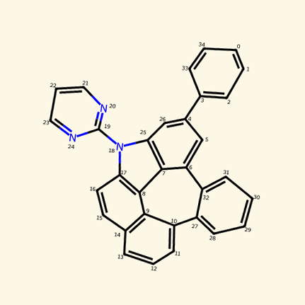 c1ccc(-c2cc3c4c5c6c(cccc6ccc5n(-c5ncccn5)c4c2)-c2ccccc2-3)cc1